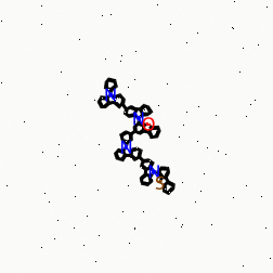 c1ccc(-n2c3ccccc3c3cc(-c4ccc5c(c4)c4ccccc4n5-c4cc(-c5cccc(-n6c7ccccc7c7cc(-c8ccc9c(c8)c8ccccc8n9-c8cccc9c8sc8ccccc89)ccc76)c5)cc5c4oc4ccccc45)ccc32)cc1